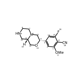 COc1cc([C@H]2CN3CCNC[C@H]3CO2)cc(F)c1C#N